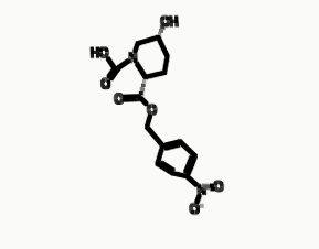 O=C(OCc1ccc([N+](=O)[O-])cc1)[C@H]1CC[C@@H](O)CN1C(=O)O